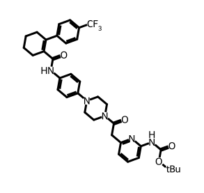 CC(C)(C)OC(=O)Nc1cccc(CC(=O)N2CCN(c3ccc(NC(=O)C4=C(c5ccc(C(F)(F)F)cc5)CCCC4)cc3)CC2)n1